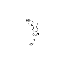 OCOCc1nc2cc(F)c(N3CCNCC3)cc2o1